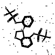 O=S(=O)(Oc1ccccc1[C@H]1COc2cccc(OS(=O)(=O)C(F)(F)F)c21)C(F)(F)F